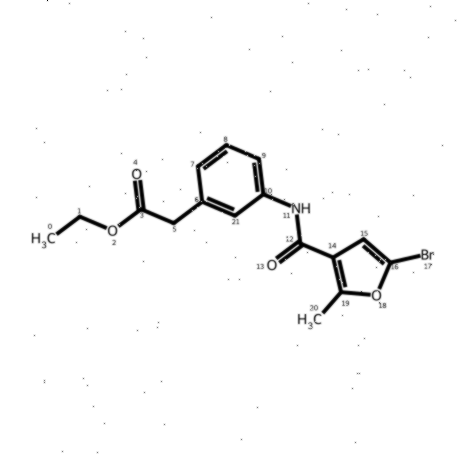 CCOC(=O)Cc1cccc(NC(=O)c2cc(Br)oc2C)c1